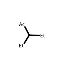 [CH2]C(=O)C(CC)CC